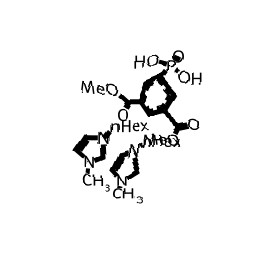 CCCCCCN1C=CN(C)C1.CCCCCCN1C=CN(C)C1.COC(=O)c1cc(C(=O)OC)cc(P(=O)(O)O)c1